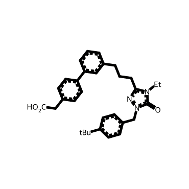 CCn1c(CCCc2cccc(-c3ccc(CC(=O)O)cc3)c2)nn(Cc2ccc(C(C)(C)C)cc2)c1=O